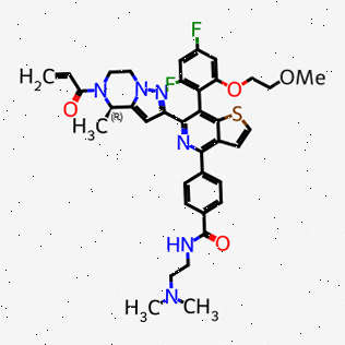 C=CC(=O)N1CCn2nc(-c3nc(-c4ccc(C(=O)NCCN(C)C)cc4)c4ccsc4c3-c3c(F)cc(F)cc3OCCOC)cc2[C@H]1C